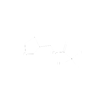 CC(C)(C)C(=O)NCC1CCNC1